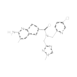 Cc1cc2cc(C(=O)N(Cc3ccc(Cl)cn3)Cc3ncn(C)n3)ccc2nc1N